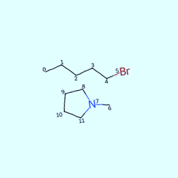 CCCCCBr.CN1CCCC1